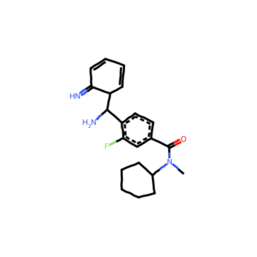 CN(C(=O)c1ccc(C(N)C2C=CC=CC2=N)c(F)c1)C1CCCCC1